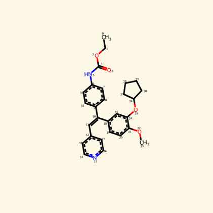 CCOC(=O)Nc1ccc(C(=Cc2ccncc2)c2ccc(OC)c(OC3CCCC3)c2)cc1